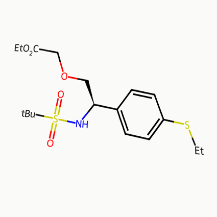 CCOC(=O)COC[C@H](NS(=O)(=O)C(C)(C)C)c1ccc(SCC)cc1